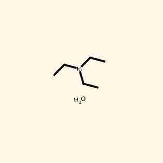 C[CH2][In]([CH2]C)[CH2]C.O